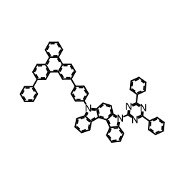 c1ccc(-c2ccc3c4ccccc4c4ccc(-c5ccc(-n6c7ccccc7c7c8c9ccccc9n(-c9nc(-c%10ccccc%10)nc(-c%10ccccc%10)n9)c8ccc76)cc5)cc4c3c2)cc1